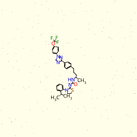 CC(CCCc1ccc(-c2ncn(-c3ccc(OC(F)(F)F)cc3)n2)cc1)NC(=O)/N=C1\SCCN1c1ccccc1C(C)C